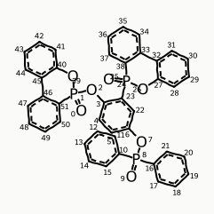 O=P1(Oc2ccc(OP(=O)(c3ccccc3)c3ccccc3)cc2P2(=O)Oc3ccccc3-c3ccccc32)Oc2ccccc2-c2ccccc21